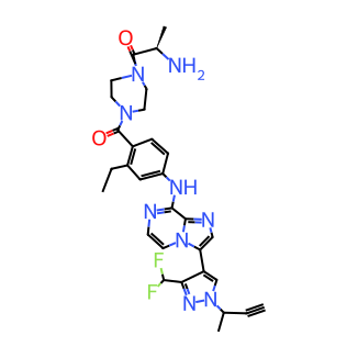 C#CC(C)n1cc(-c2cnc3c(Nc4ccc(C(=O)N5CCN(C(=O)[C@@H](C)N)CC5)c(CC)c4)nccn23)c(C(F)F)n1